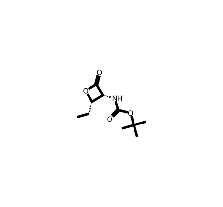 CC[C@@H]1OC(=O)[C@@H]1NC(=O)OC(C)(C)C